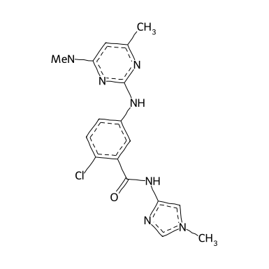 CNc1cc(C)nc(Nc2ccc(Cl)c(C(=O)Nc3cn(C)cn3)c2)n1